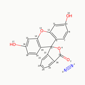 N#N.O=C1OC2(c3ccc(O)cc3Oc3cc(O)ccc32)c2ccccc21